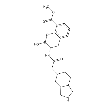 COC(=O)c1cccc2c1OB(O)[C@@H](NC(=O)CC1CCC3CNCC3C1)C2